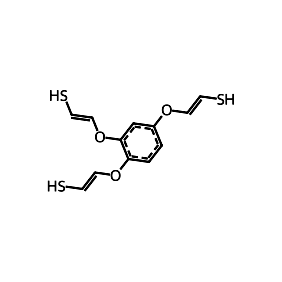 SC=COc1ccc(OC=CS)c(OC=CS)c1